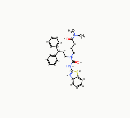 CN(C)C(=O)CCCN(CCC(c1ccccc1)c1ccccc1)C(=O)Nc1nc2ccccc2s1